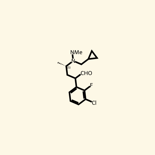 CNN(CC1CC1)[C@@H](C)CC(C=O)c1cccc(Cl)c1F